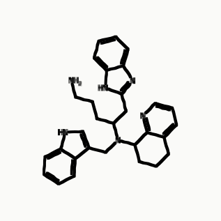 NCCCC(Cc1nc2ccccc2[nH]1)N(Cc1c[nH]c2ccccc12)C1CCCc2cccnc21